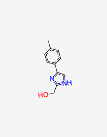 Cc1ccc(-c2c[nH]c(CO)n2)cc1